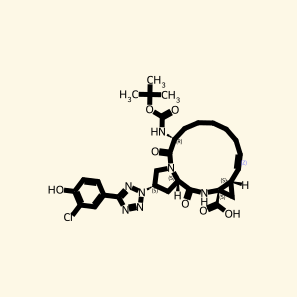 CC(C)(C)OC(=O)N[C@@H]1CCCCC/C=C\[C@@H]2C[C@]2(C(=O)O)NC(=O)[C@@H]2C[C@H](n3nnc(-c4ccc(O)c(Cl)c4)n3)CN2C1=O